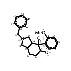 COc1ccccc1C1(O)C(O)CCC2CN(Cc3ccccc3)CC21